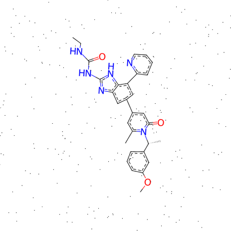 CCNC(=O)Nc1nc2cc(-c3cc(C)n([C@H](C)c4cccc(OC)c4)c(=O)c3)cc(-c3ccccn3)c2[nH]1